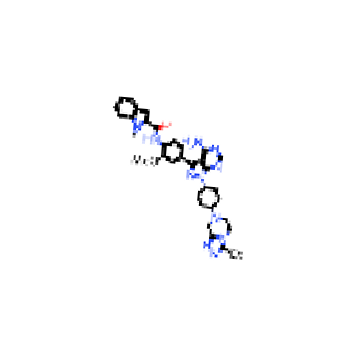 CCc1nnc2n1CCN([C@H]1CC[C@H](n3nc(-c4ccc(NC(=O)c5cc6ccccc6n5C)c(OC)c4)c4c(N)ncnc43)CC1)C2